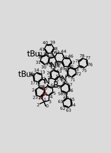 CC1(C)Cc2cc3c(cc2C1)N(c1ccc(C(C)(C)C)cc1-c1ccccc1)c1cc(N2c4ccc(C(C)(C)C)cc4C4(c5ccccc5)CCc5ccccc5C24C)cc2c1B3c1cc(-c3ccccc3)ccc1N2c1ccc(-c2ccccc2)cc1